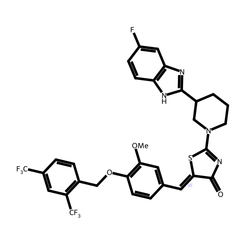 COc1cc(/C=C2\SC(N3CCCC(c4nc5cc(F)ccc5[nH]4)C3)=NC2=O)ccc1OCc1ccc(C(F)(F)F)cc1C(F)(F)F